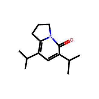 CC(C)c1cc(C(C)C)c(=O)n2c1CCC2